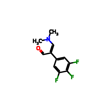 CN(C)C=C(C=O)c1cc(F)c(F)c(F)c1